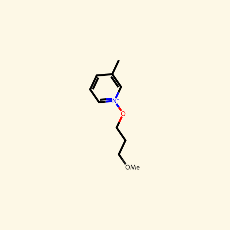 COCCCO[n+]1cccc(C)c1